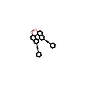 C(#Cc1ccc2c3c(ccc2c1)OCOc1ccc2cc(C#Cc4ccccc4)ccc2c1-3)c1ccccc1